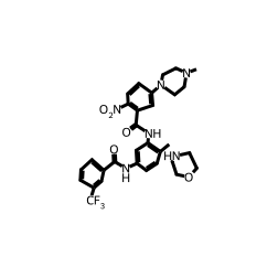 C1COCCN1.Cc1ccc(NC(=O)c2cccc(C(F)(F)F)c2)cc1NC(=O)c1cc(N2CCN(C)CC2)ccc1[N+](=O)[O-]